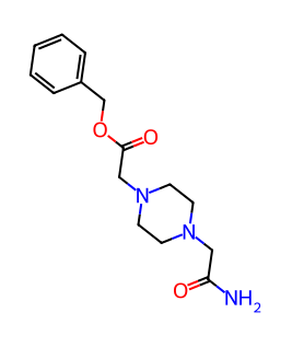 NC(=O)CN1CCN(CC(=O)OCc2ccccc2)CC1